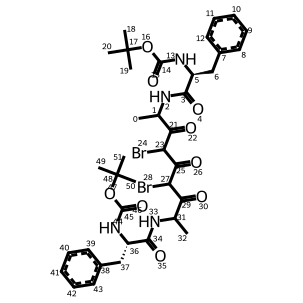 CC(NC(=O)[C@H](Cc1ccccc1)NC(=O)OC(C)(C)C)C(=O)C(Br)C(=O)C(Br)C(=O)C(C)NC(=O)[C@H](Cc1ccccc1)NC(=O)OC(C)(C)C